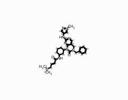 CN(C)C/C=C/C(=O)NC1CCCC(N2C(=O)N(Cc3ccccc3)Cc3cnc(Nc4cnn(C)c4)nc32)C1